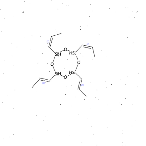 C/C=C\[SiH]1O[SiH](/C=C\C)O[SiH](/C=C/C)O[SiH](/C=C/C)O1